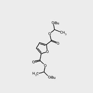 CC(C)COC(C)OC(=O)c1ccc(C(=O)OC(C)OCC(C)C)o1